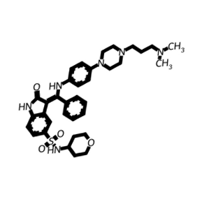 CN(C)CCCN1CCN(c2ccc(N/C(=C3\C(=O)Nc4ccc(S(=O)(=O)NC5CCOCC5)cc43)c3ccccc3)cc2)CC1